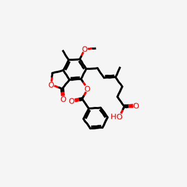 COc1c(C)c2c(c(OC(=O)c3ccccc3)c1C/C=C(\C)CCC(=O)O)C(=O)OC2